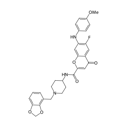 COc1ccc(Nc2cc3oc(C(=O)NC4CCN(Cc5cccc6c5OCO6)CC4)cc(=O)c3cc2F)cc1